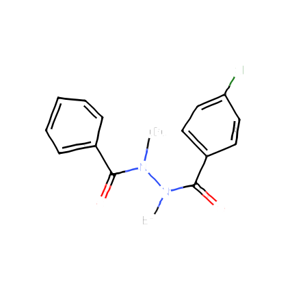 CCN(C(=O)c1ccc(Cl)cc1)N(C(=O)c1ccccc1)C(C)(C)C